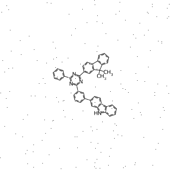 CC1(C)c2ccccc2-c2ccc(-c3nc(-c4ccccc4)nc(-c4cccc(-c5ccc6c(c5)[nH]c5ccccc56)c4)n3)cc21